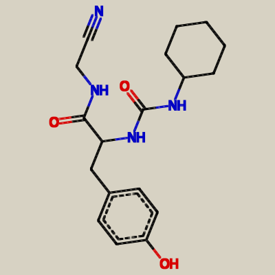 N#CCNC(=O)C(Cc1ccc(O)cc1)NC(=O)NC1CCCCC1